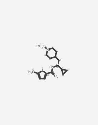 CCOC(=O)N1CCC(C[C@H](NC(=O)c2ccc(C)s2)C2CC2)CC1